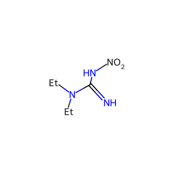 CCN(CC)C(=N)N[N+](=O)[O-]